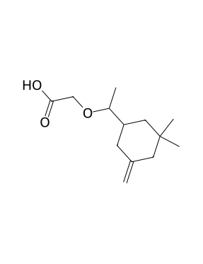 C=C1CC(C(C)OCC(=O)O)CC(C)(C)C1